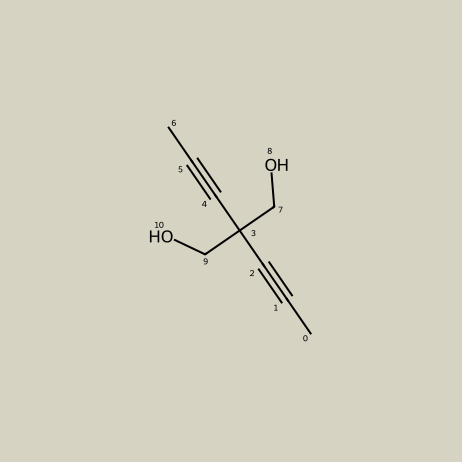 CC#CC(C#CC)(CO)CO